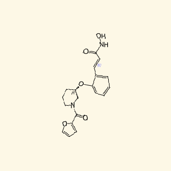 O=C(/C=C/c1ccccc1O[C@@H]1CCCN(C(=O)c2ccco2)C1)NO